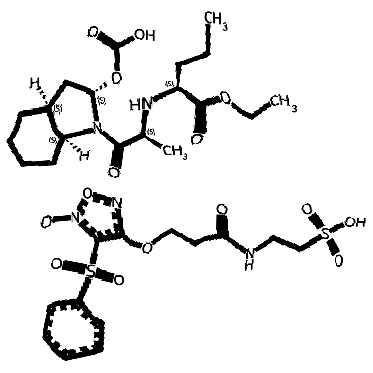 CCC[C@H](N[C@@H](C)C(=O)N1[C@@H](OC(=O)O)C[C@@H]2CCCC[C@@H]21)C(=O)OCC.O=C(CCOc1no[n+]([O-])c1S(=O)(=O)c1ccccc1)NCCS(=O)(=O)O